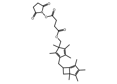 CC1=C(C)C(C)(COC(=O)CCC(=O)ON2C(=O)CCC2=O)C(C)=C1CC1CC2(C)C(C)=C(C)C(C)=C12